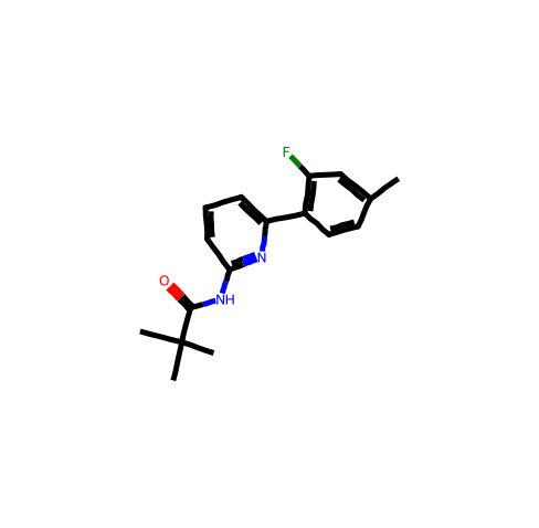 Cc1ccc(-c2cccc(NC(=O)C(C)(C)C)n2)c(F)c1